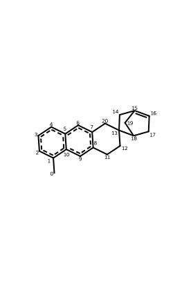 Cc1cccc2cc3c(cc12)CCC1(CC2=CCC1C2)C3